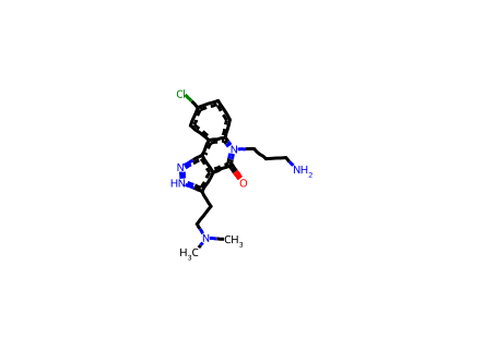 CN(C)CCc1[nH]nc2c1c(=O)n(CCCN)c1ccc(Cl)cc21